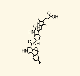 Cc1[nH]c(/C=C2\C(=O)Nc3cc(NC(=O)c4c[nH]cc(-c5ccc(F)cc5F)c4=O)ccc32)c(C)c1CCC(=O)O